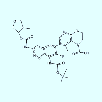 Cc1c(-c2cc3cc(NC(=O)OC4COCC4C)ncc3c(NC(=O)OC(C)(C)C)c2F)cnc2c1N(C(=O)O)CCO2